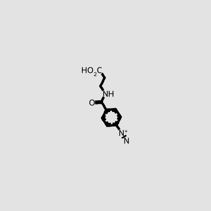 N#[N+]c1ccc(C(=O)NCCC(=O)O)cc1